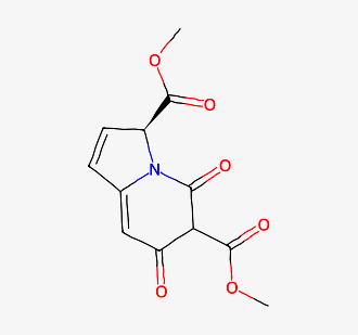 COC(=O)C1C(=O)C=C2C=C[C@@H](C(=O)OC)N2C1=O